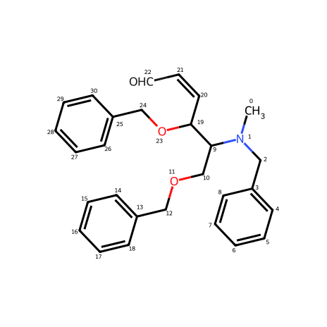 CN(Cc1ccccc1)C(COCc1ccccc1)C(/C=C\C=O)OCc1ccccc1